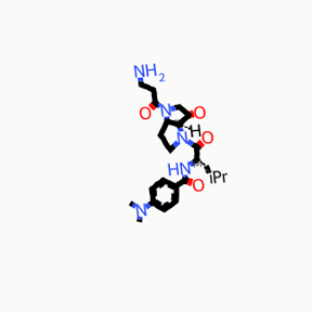 CC(C)C[C@H](NC(=O)c1ccc(N(C)C)cc1)C(=O)N1CCC2[C@H]1C(=O)CN2C(=O)CCN